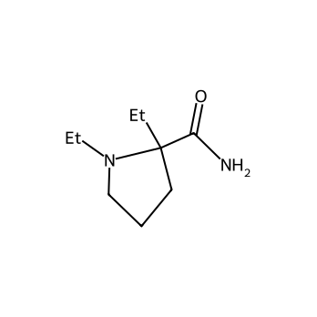 CCN1CCCC1(CC)C(N)=O